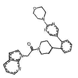 O=C(Cn1ccc2cccnc21)N1CCC(c2ccccc2-c2cnc(N3CCOCC3)nc2)CC1